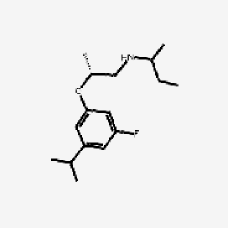 CCC(C)NC[C@@H](C)Oc1cc(F)cc(C(C)C)c1